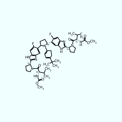 COC(=O)N[C@H](C(=O)N1CCC[C@H]1c1nc2cc(C3CC[C@H](c4cc5[nH]c([C@@H]6CCCN6C(=O)[C@@H](NC(=O)OC)C(C)C)nc5cc4F)N3C3=CC=C(C(C)(C)C)CC3)c(F)cc2[nH]1)C(C)C